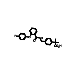 CC(C)(C(=O)O)c1ccc(CNC(=O)c2cccnc2Oc2ccc(F)cc2)cc1